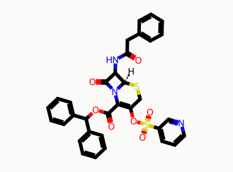 O=C(Cc1ccccc1)NC1C(=O)N2C(C(=O)OC(c3ccccc3)c3ccccc3)=C(OS(=O)(=O)c3cccnc3)CS[C@H]12